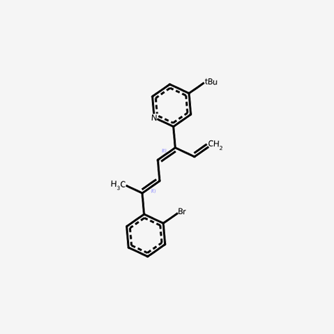 C=C/C(=C\C=C(/C)c1ccccc1Br)c1cc(C(C)(C)C)ccn1